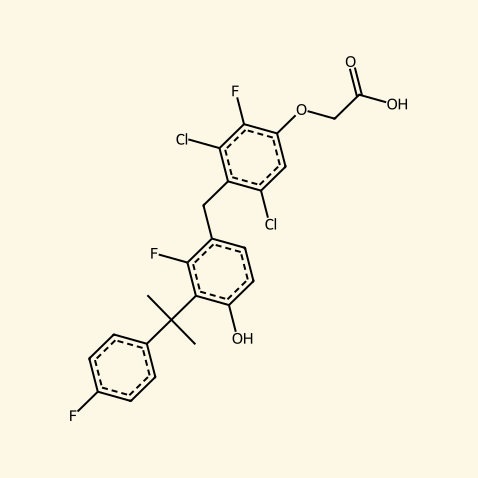 CC(C)(c1ccc(F)cc1)c1c(O)ccc(Cc2c(Cl)cc(OCC(=O)O)c(F)c2Cl)c1F